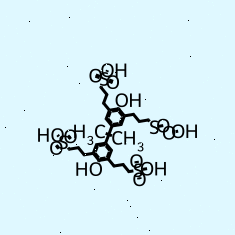 CC(C)(c1cc(CCCSOOO)c(O)c(CCCS(=O)(=O)O)c1)c1cc(CCCS(=O)(=O)O)c(O)c(CCCS(=O)(=O)O)c1